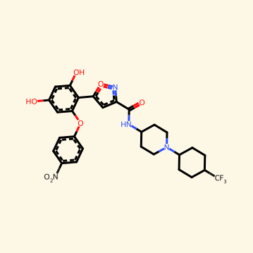 O=C(NC1CCN(C2CCC(C(F)(F)F)CC2)CC1)c1cc(-c2c(O)cc(O)cc2Oc2ccc([N+](=O)[O-])cc2)on1